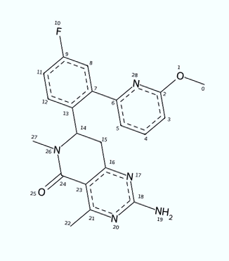 COc1cccc(-c2cc(F)ccc2C2Cc3nc(N)nc(C)c3C(=O)N2C)n1